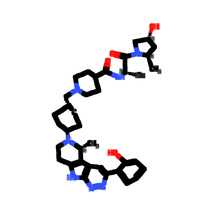 C[C@@H]1C[C@@H](O)CN1C(=O)[C@@H](NC(=O)C1CCN(C[C@H]2CC[C@H](N3CCc4[nH]c5nnc(-c6ccccc6O)cc5c4[C@H]3C)CC2)CC1)C(C)(C)C